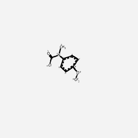 CN(C(=O)Cl)c1ccc(OC(F)(F)F)cc1